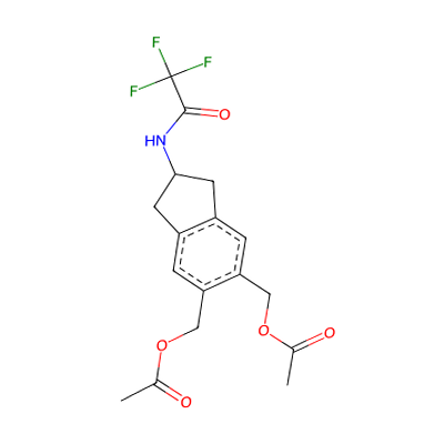 CC(=O)OCc1cc2c(cc1COC(C)=O)CC(NC(=O)C(F)(F)F)C2